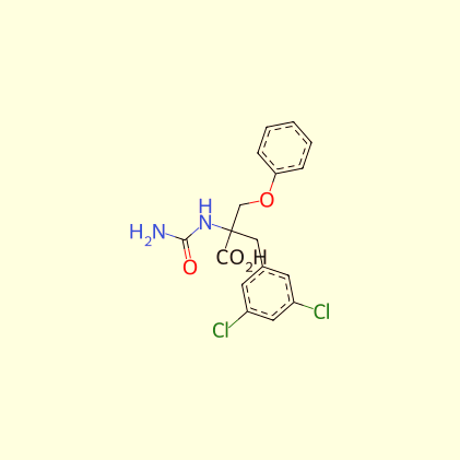 NC(=O)NC(COc1ccccc1)(Cc1cc(Cl)cc(Cl)c1)C(=O)O